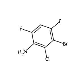 Nc1c(F)cc(F)c(Br)c1Cl